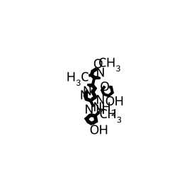 CCc1cc(O)ccc1/N=C(\N)c1cnn2cc(-c3cnc(OC)cc3C)cc2c1N[C@@H]1COCC[C@H]1O